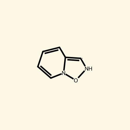 [C]1=C2C=CC=CN2ON1